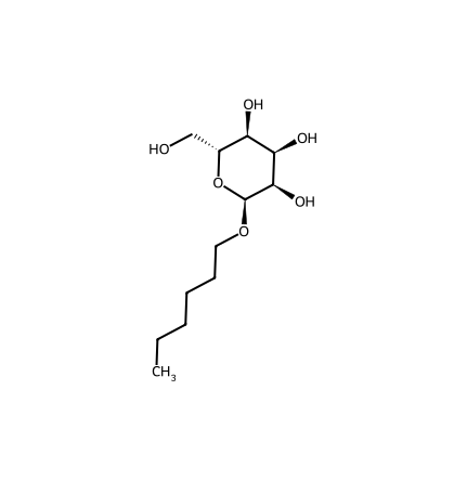 CCCCCCO[C@H]1O[C@H](CO)[C@@H](O)[C@@H](O)[C@H]1O